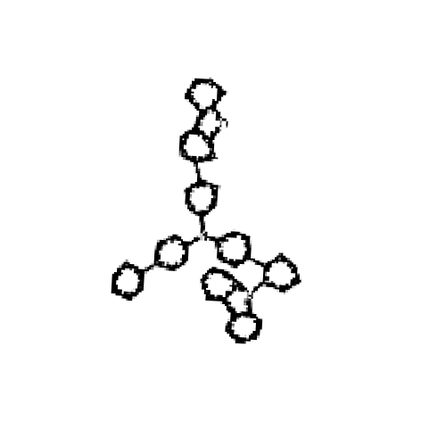 c1ccc(-c2ccc(N(c3ccc(-c4ccc5c(c4)oc4ccccc45)cc3)c3ccc(-c4ccccc4-n4c5ccccc5c5ccccc54)cc3)cc2)cc1